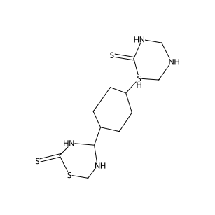 S=C1NC(C2CCC([SH]3CNCNC3=S)CC2)NCS1